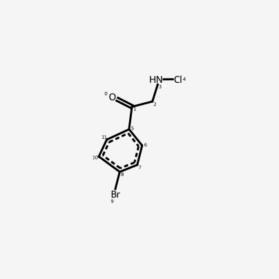 O=C(CNCl)c1ccc(Br)cc1